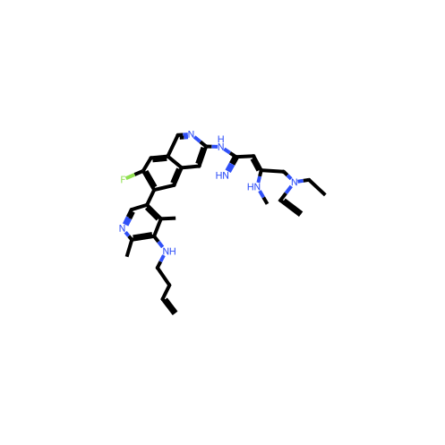 C=CCCNc1c(C)ncc(-c2cc3cc(NC(=N)/C=C(/CN(C=C)CC)NC)ncc3cc2F)c1C